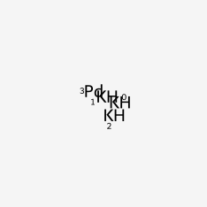 [KH].[KH].[KH].[Pd]